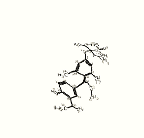 CCC(CC)(Oc1cc(C)c(C(OC)c2ccc(O)c(C(C)C)c2)c(C)c1)P(=O)(O)O